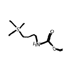 COC(=O)NCCS(C)(C)C